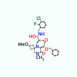 COC1CC2(C1)CN(C)C(=O)C1=C(OCc3ccccc3)C3OC3C(C(O)NCc3cccc(Cl)c3F)=CN12